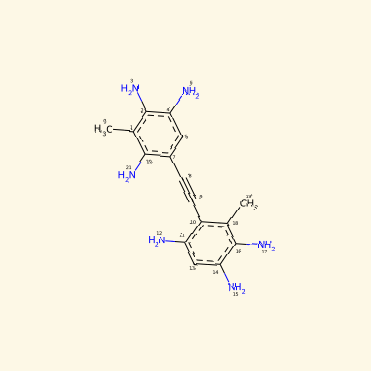 Cc1c(N)c(N)cc(C#Cc2c(N)cc(N)c(N)c2C)c1N